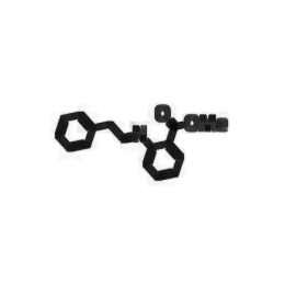 COC(=O)c1ccccc1N=CCc1ccccc1